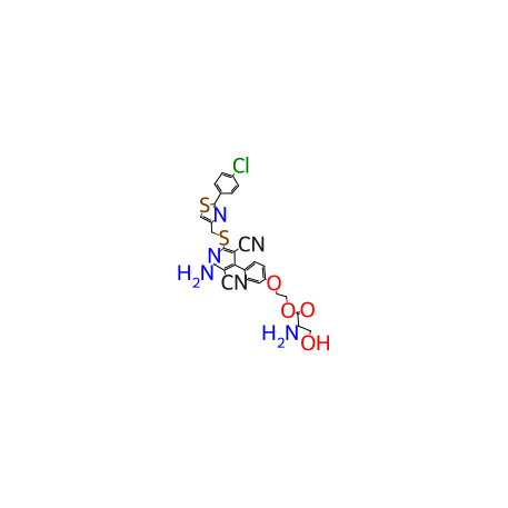 N#Cc1c(N)nc(SCc2csc(-c3ccc(Cl)cc3)n2)c(C#N)c1-c1ccc(OCCOC(=O)[C@@H](N)CO)cc1